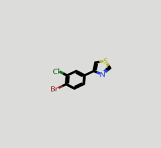 Clc1cc(-c2cscn2)ccc1Br